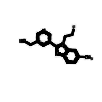 Cc1ccc2nc(-c3cncc(CO)c3)n(CCF)c2c1